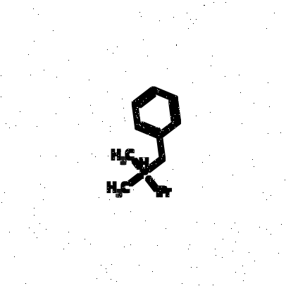 CC(C)[PH](C)(C)Cc1ccccc1